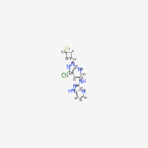 CC1(F)CC(Cn2nc(Cl)c3cc(Nc4n[nH]c5cccnc45)cnc32)C1